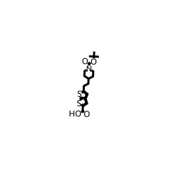 CC(C)(C)OC(=O)N1CCC(CCc2cc3cc(C(=O)O)sc3s2)CC1